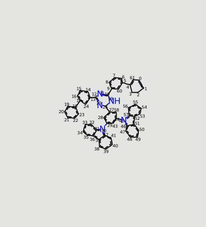 C1=CCCC(c2cccc(C3=NC(c4cccc(-c5ccccc5)c4)=NC(c4cc(-n5c6ccccc6c6ccccc65)cc(-n5c6ccccc6c6ccccc65)c4)N3)c2)=C1